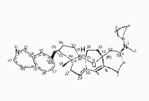 CN(C1CC1)[C@H]1CCC2=CC3=CC[C@]4(C)[C@@H](c5ccc6ccncc6c5)CC[C@H]4[C@@]34CC[C@]2(C1)O4